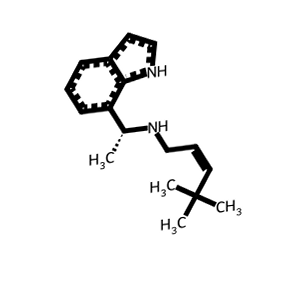 C[C@@H](NC/C=C\C(C)(C)C)c1cccc2cc[nH]c12